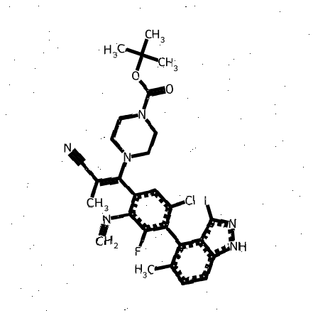 C=Nc1c(/C(=C(\C)C#N)N2CCN(C(=O)OC(C)(C)C)CC2)cc(Cl)c(-c2c(C)ccc3[nH]nc(I)c23)c1F